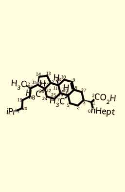 CCCCCCCC(C(=O)O)[C@H]1CC[C@@]2(C)C(=CC[C@H]3[C@@H]4CC[C@H]([C@H](C)CCCC(C)C)[C@@]4(C)CC[C@@H]32)C1